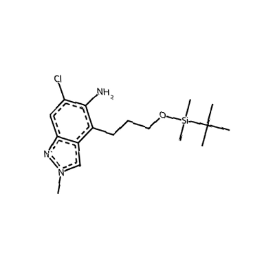 Cn1cc2c(CCCO[Si](C)(C)C(C)(C)C)c(N)c(Cl)cc2n1